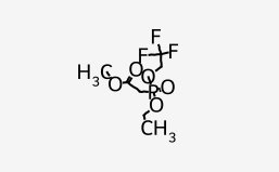 CCOP(=O)(CC(=O)OC)OCC(F)(F)F